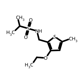 CCOc1cc(C)sc1CNS(=O)(=O)C(C)C